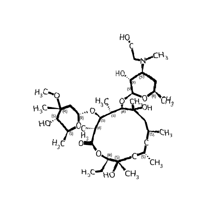 CC[C@H]1OC(=O)[C@H](C)[C@@H](O[C@H]2C[C@@](C)(OC)[C@@H](O)[C@H](C)O2)[C@H](C)[C@@H](O[C@@H]2O[C@H](C)C[C@H](N(C)CCO)[C@H]2O)C(C)(O)C[C@@H](C)C[C@H](C)C[C@]1(C)O